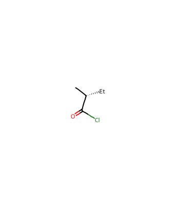 CC[C@@H](C)C(=O)Cl